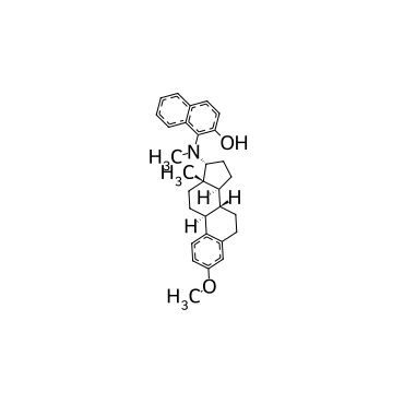 COc1ccc2c(c1)CC[C@@H]1[C@@H]2CC[C@@]2(C)[C@H]1CC[C@H]2N(C)c1c(O)ccc2ccccc12